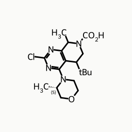 CC1c2nc(Cl)nc(N3CCOC[C@@H]3C)c2C(C(C)(C)C)CN1C(=O)O